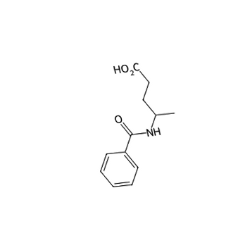 CC(CCC(=O)O)NC(=O)c1ccccc1